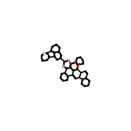 C1=CC2c3cnccc3C(c3ccccc3-c3nc(-c4ccccc4)nc(-c4cc5c6c(cccc6c4)-c4ccccc4-5)n3)=CC2c2ccccc21